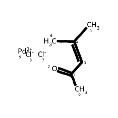 CC(=O)C=C(C)C.[Cl-].[Cl-].[Pd+2]